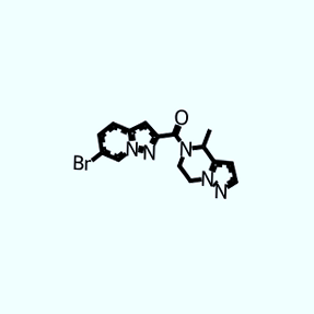 CC1c2ccnn2CCN1C(=O)c1cc2ccc(Br)cn2n1